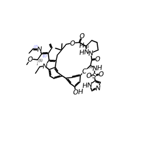 C=C/C(=C(\N=C/C)[C@H](C)OC)c1c2c3cc(ccc3n1CC)-c1cc(O)cc(c1)C[C@H](NS(=O)(=O)c1cnc[nH]1)C(=O)N1CCC[C@H](N1)C(=O)OCC(C)(C)C2